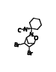 [C-]#[N+]C1(N2OC3CC2C(Br)C3Br)CCCCC1